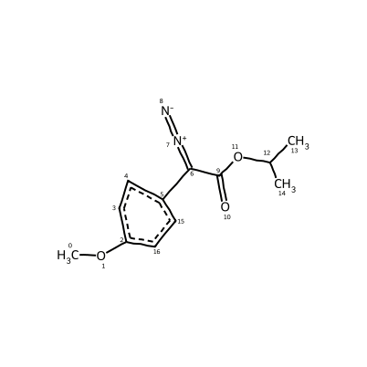 COc1ccc(C(=[N+]=[N-])C(=O)OC(C)C)cc1